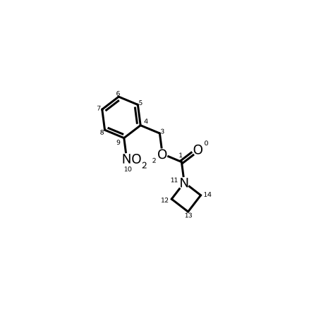 O=C(OCc1ccccc1[N+](=O)[O-])N1CCC1